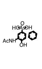 CC(=O)Nc1cc([As](=O)(O)O)ccc1O.c1ccccc1